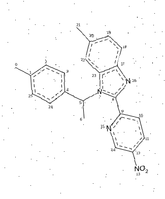 Cc1ccc(C(C)n2c(-c3ccc([N+](=O)[O-])cn3)nc3ccc(C)cc32)cc1